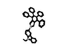 CCn1c2ccccc2c2cc(N3C=C4C(c5ccccc5)=C(c5ccccc5)C(c5ccccc5)=C(c5ccccc5)C4C3)ccc21